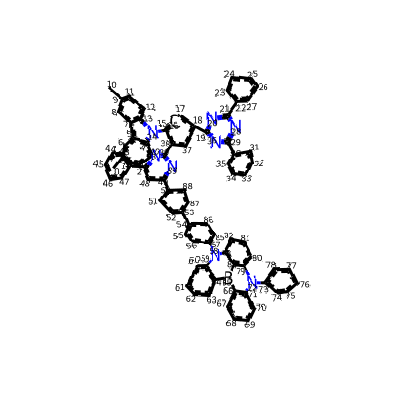 Cc1ccc2c(c1)c1cc(C)ccc1n2-c1ccc(-c2nc(-c3ccccc3)nc(-c3ccccc3)n2)cc1-c1nc(-c2ccccc2)cc(-c2ccc(-c3ccc(N4c5ccccc5B5c6ccccc6N(c6ccccc6)c6cccc4c65)cc3)cc2)n1